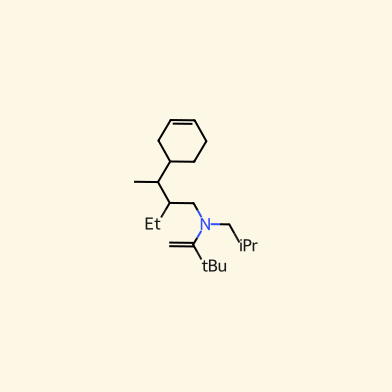 C=C(N(CC(C)C)CC(CC)C(C)C1CC=CCC1)C(C)(C)C